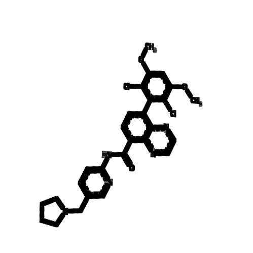 COc1cc(OC)c(Cl)c(-c2ccc(C(=O)Nc3ccc(CN4CCCC4)cn3)c3nccnc23)c1Cl